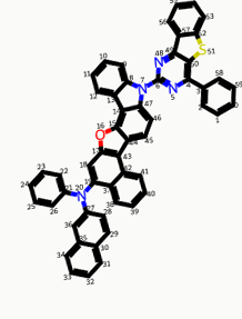 c1ccc(-c2nc(-n3c4ccccc4c4c5oc6cc(N(c7ccccc7)c7ccc8ccccc8c7)c7ccccc7c6c5ccc43)nc3c2sc2ccccc23)cc1